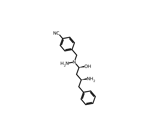 N#Cc1ccc(CN(N)[C@@H](O)C[C@@H](N)Cc2ccccc2)cc1